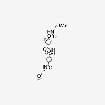 CCOCCCNC(=O)c1ccc(S(=O)(=O)NC(=O)c2ccc(OC(=O)NCCOC)nc2)cc1